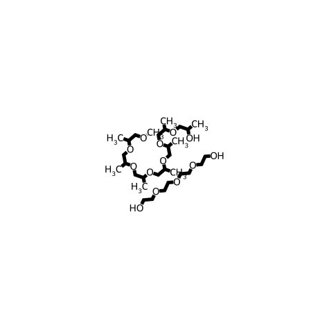 COCC(C)OCC(C)OCC(C)OCC(C)OCC(C)OCC(C)OCC(C)O.OCCOCCOCCOCCO